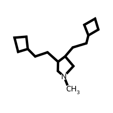 CN1CC(CCC2CCC2)C(CCC2CCC2)C1